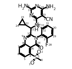 CS(=O)(=O)c1cccc2nc(C(Nc3nc(N)nc(N)c3C#N)C3CC3)n(-c3c(F)cccc3F)c(=O)c12